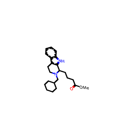 COC(=O)CCCC1c2[nH]c3ccccc3c2CCN1CC1CCCCC1